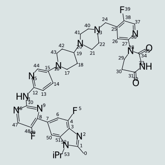 Cc1nc2c(F)cc(-c3nc(Nc4ccc(N5CCC(N6CCN(Cc7cc(N8CCC(=O)NC8=O)ncc7F)CC6)CC5)cn4)ncc3F)cc2n1C(C)C